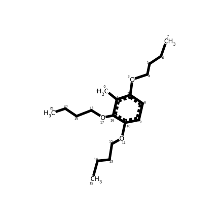 [CH2]c1c(OCCCC)ccc(OCCCC)c1OCCCC